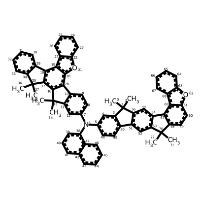 CC1(C)c2cc(N(c3ccc4c(c3)C(C)(C)c3c5c(c6c(oc7ccccc76)c3-4)-c3ccccc3C5(C)C)c3cccc4ccccc34)ccc2-c2cc3c(cc21)-c1c(ccc2oc4ccccc4c12)C3(C)C